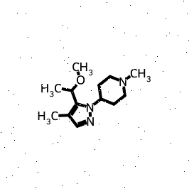 COC(C)c1c(C)cnn1C1CCN(C)CC1